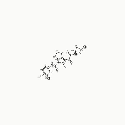 Cc1c(C(=O)C(=O)NC2(C)CC(C#N)C2)c2n(c1C(=O)Nc1ccc(F)c(Cl)c1)CCC2